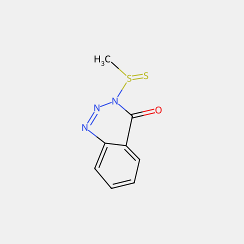 CS(=S)n1nnc2ccccc2c1=O